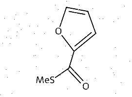 [CH2]SC(=O)c1ccco1